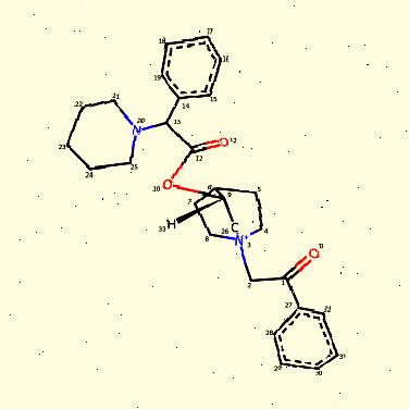 O=C(C[N+]12CCC(CC1)[C@@H](OC(=O)C(c1ccccc1)N1CCCCC1)C2)c1ccccc1